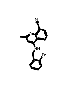 Cc1cc(NCc2ccccc2Br)c2cccc(C#N)c2n1